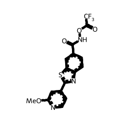 COc1cc(-c2nc3ccc(C(=O)NOC(=O)C(F)(F)F)cc3s2)ccn1